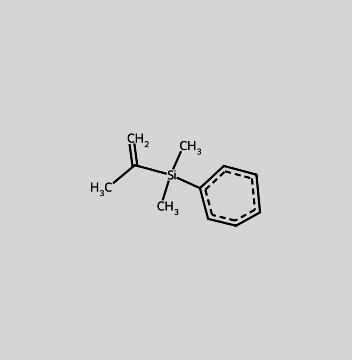 C=C(C)[Si](C)(C)c1ccccc1